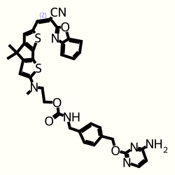 CN(CCOC(=O)NCc1ccc(COc2nccc(N)n2)cc1)c1cc2c(s1)-c1sc(/C=C(/C#N)c3nc4ccccc4o3)cc1C2(C)C